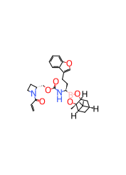 C=CC(=O)N1CC[C@@H]1COC(=O)N[C@@H](CCc1coc2ccccc12)B1O[C@@H]2C[C@@H]3C[C@@H](C3(C)C)[C@]2(C)O1